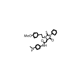 COc1ccc(CCN2C(=S)N(c3ccccc3)C(=O)C2=CC(=O)Nc2ccc(N(C)C)cc2)cc1